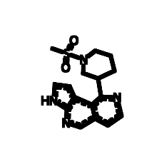 CS(=O)(=O)N1CCCC(c2nccc3cnc4[nH]ccc4c23)C1